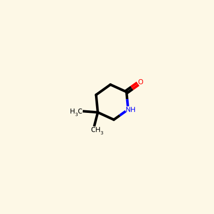 CC1(C)CCC(=O)NC1